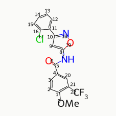 COc1ccc(C(=O)Nc2cc(-c3ccccc3Cl)no2)cc1C(F)(F)F